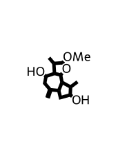 C=C1CC(O)C2C(C)C(OC)OC2C2C1CC(O)C2C